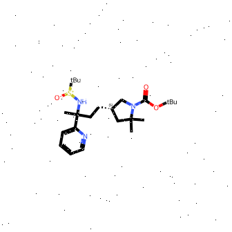 CC(C)(C)OC(=O)N1C[C@@H](CCC(C)(N[S+]([O-])C(C)(C)C)c2ccccn2)CC1(C)C